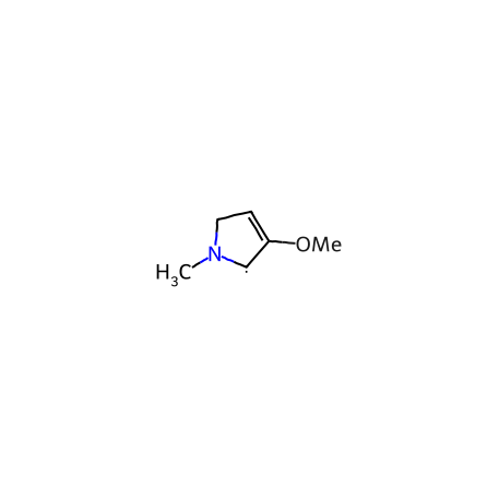 COC1=CCN(C)[CH]1